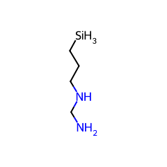 NCNCCC[SiH3]